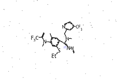 C=N/N=C(/c1cc(C)c(N(C)C(=C)C(F)(F)F)cc1SCC)N(C)Cc1cc(C(F)(F)F)ccn1